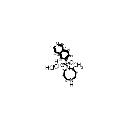 C[C@H]1CCNCCCN1S(=O)(=O)c1ccc2cnccc2c1.Cl.Cl